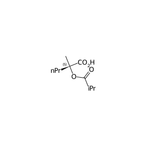 CCC[C@](C)(OC(=O)C(C)C)C(=O)O